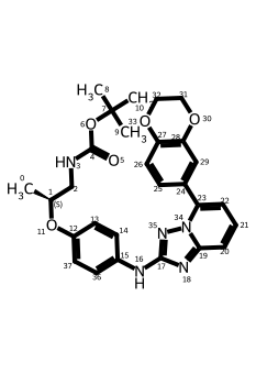 C[C@@H](CNC(=O)OC(C)(C)C)Oc1ccc(Nc2nc3cccc(-c4ccc5c(c4)OCCO5)n3n2)cc1